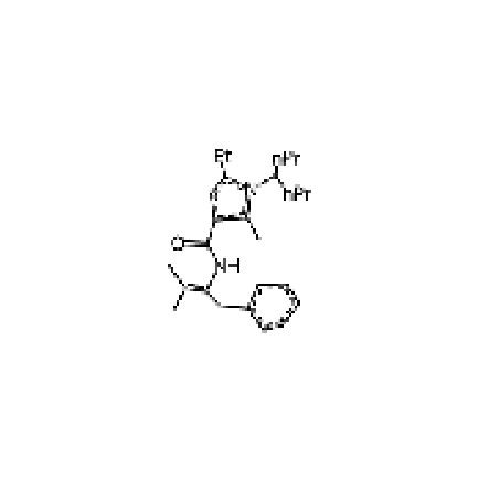 CCCC(CCC)n1c(CC)cc(C(=O)NC(Cc2ccccc2)=C(C)C)c1C